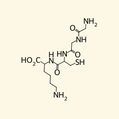 NCCCCC(NC(=O)C(CS)NC(=O)CNC(=O)CN)C(=O)O